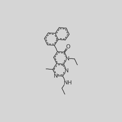 CCNc1nc(C)c2cc(-c3cccc4ccccc34)c(=O)n(CC)c2n1